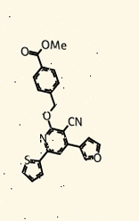 COC(=O)c1ccc(COc2nc(-c3cccs3)cc(-c3ccoc3)c2C#N)cc1